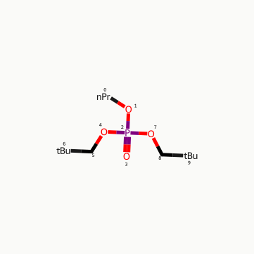 CCCOP(=O)(OCC(C)(C)C)OCC(C)(C)C